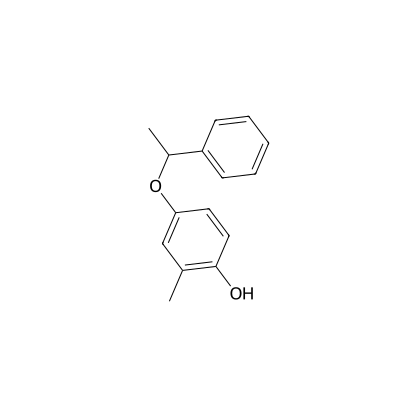 Cc1cc(OC(C)c2ccccc2)ccc1O